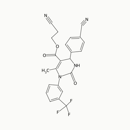 CC1=C(C(=O)OCCC#N)C(c2ccc(C#N)cc2)NC(=O)N1c1cccc(C(F)(F)F)c1